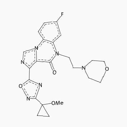 COC1(c2noc(-c3ncn4c3c(=O)n(CCN3CCOCC3)c3cc(F)ccc34)n2)CC1